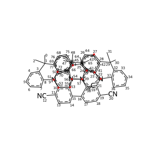 CC1(C)c2ccccc2N(c2c(C#N)ccc(-c3ccc(C#N)c(N4c5ccccc5C(C)(C)c5ccccc54)c3N3c4ccccc4C(C)(C)c4ccccc43)c2N2c3ccccc3C(C)(C)c3ccccc32)c2ccccc21